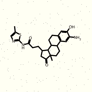 Cc1cnc(NC(=O)CCC2CC(=O)C3(C)CCC4c5cc(N)c(O)cc5CCC4C23)s1